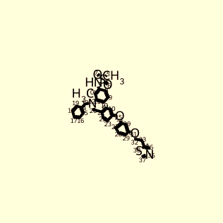 Cc1c(NS(C)(=O)=O)cccc1N(Cc1ccccc1)Cc1ccc(Oc2cccc(OCCc3cncs3)c2)cc1